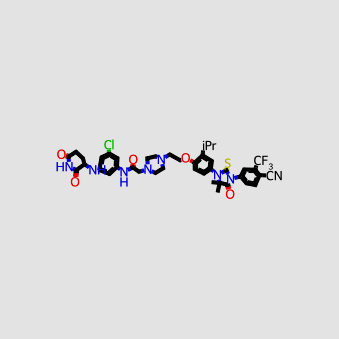 CC(C)c1cc(N2C(=S)N(c3ccc(C#N)c(C(F)(F)F)c3)C(=O)C2(C)C)ccc1OCCN1CCN(CC(=O)Nc2cc(Cl)cc(NC3CCC(=O)NC3=O)c2)CC1